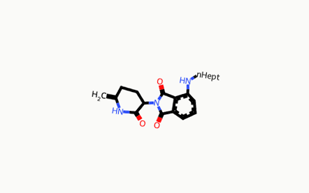 C=C1CCC(N2C(=O)c3cccc(NCCCCCCC)c3C2=O)C(=O)N1